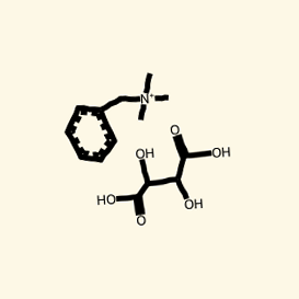 C[N+](C)(C)Cc1ccccc1.O=C(O)C(O)C(O)C(=O)O